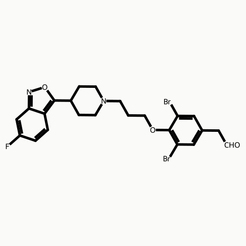 O=CCc1cc(Br)c(OCCCN2CCC(c3onc4cc(F)ccc34)CC2)c(Br)c1